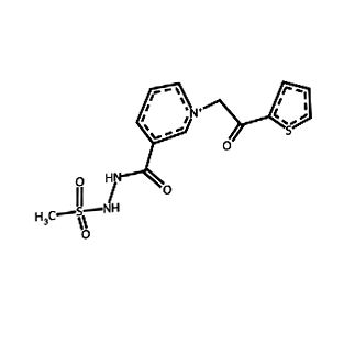 CS(=O)(=O)NNC(=O)c1ccc[n+](CC(=O)c2cccs2)c1